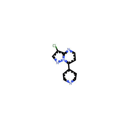 Clc1cnn2c(-c3ccncc3)ccnc12